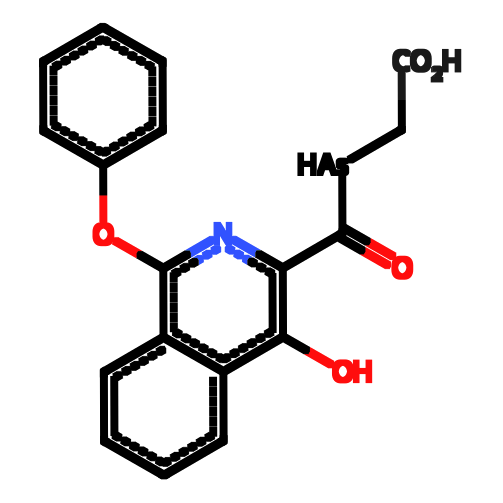 O=C(O)C[AsH]C(=O)c1nc(Oc2ccccc2)c2ccccc2c1O